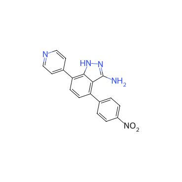 Nc1n[nH]c2c(-c3ccncc3)ccc(-c3ccc([N+](=O)[O-])cc3)c12